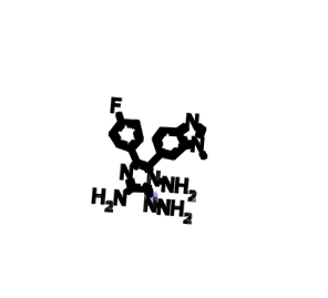 Cn1cnc2ccc(-c3c(-c4ccc(F)cc4)nc(N)/c(=N/N)n3N)cc21